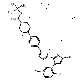 Cc1cn(-c2cc(Cl)ccc2Cl)c(-c2ccc(-c3ccc(N4CCN(C(=O)OC(C)(C)C)CC4)nc3)s2)n1